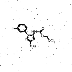 CC(C)(C)c1cc(NC(=O)OCC(Cl)(Cl)Cl)n(-c2cccc(F)c2)n1